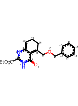 CCOC(=O)c1nc2c(c(=O)[nH]1)=C(COCc1ccccc1)CCC=2